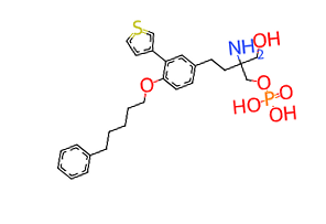 NC(CO)(CCc1ccc(OCCCCCc2ccccc2)c(-c2ccsc2)c1)COP(=O)(O)O